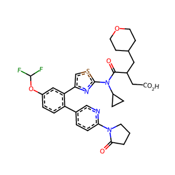 O=C(O)CC(CC1CCOCC1)C(=O)N(c1nc(-c2cc(OC(F)F)ccc2-c2ccc(N3CCCC3=O)nc2)cs1)C1CC1